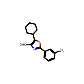 O=Cc1nc(-c2cccc(C(F)(F)F)c2)oc1C1CCCCC1